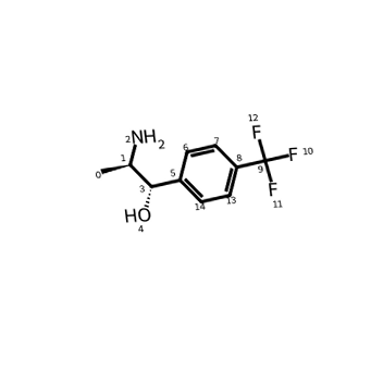 C[C@@H](N)[C@@H](O)c1ccc(C(F)(F)F)cc1